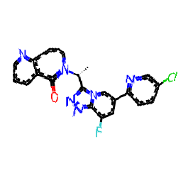 C[C@H](c1nnc2c(F)cc(-c3ccc(Cl)cn3)cn12)n1ccc2ncccc2c1=O